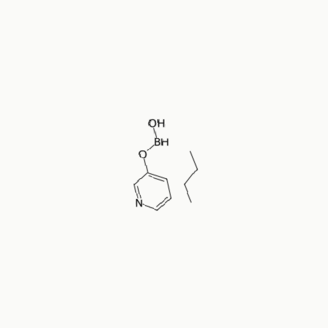 CCCC.OBOc1cccnc1